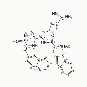 CC(=O)N[C@@H](Cc1cc2ccccc2s1)C(=O)N[C@@H](CCCNC(=N)N)C(=O)N[C@@H](Cc1ccc2ccccc2c1)C(N)=O